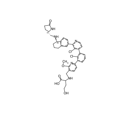 COc1nc(-c2cccc(-c3ccnc(-c4ccc5c(c4)CCC[C@H]5NC[C@@H]4CCC(=O)N4)c3Cl)c2Cl)ccc1CNC(CCO)C(=O)O